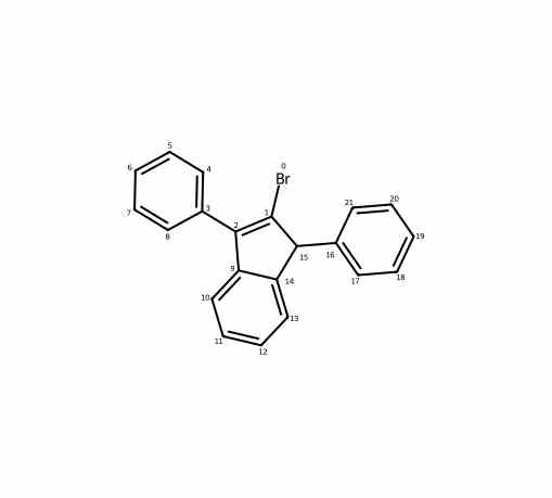 BrC1=C(c2ccccc2)c2ccccc2C1c1ccccc1